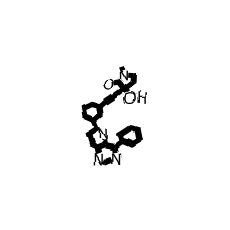 CN1CCC(O)(C#Cc2cccc(-c3ccc4ncnc(-c5ccccc5)c4n3)c2)C1=O